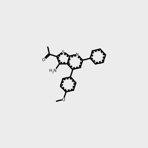 COc1ccc(-c2cc(-c3ccccc3)nc3sc(C(C)=O)c(N)c23)cc1